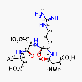 CN[C@@H](CC(=O)O)C(=O)N[C@@H](CCCNC(=N)N)C(=O)N[C@@H](CC(=O)O)C(=O)N[C@@H](CC(=O)O)C(C)=O